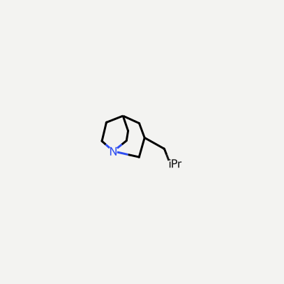 CC(C)CC1CC2CCN(CC2)C1